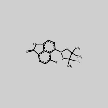 CC1(C)OB(c2ccc3c4c(ccc(F)c24)C(=O)N3)OC1(C)C